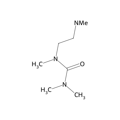 CNCCN(C)C(=O)N(C)C